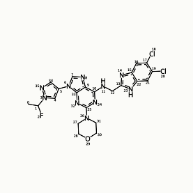 CC(F)n1cc(-n2cnc3c(NCc4nc5cc(Cl)c(Cl)cc5[nH]4)nc(N4CCOCC4)nc32)cn1